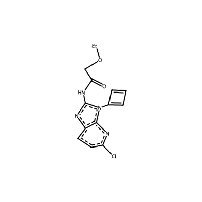 CCOCC(=O)Nc1nc2ccc(Cl)nc2n1C1=CC=C1